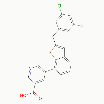 O=C(O)c1cncc(-c2cccc3cc(Cc4cc(F)cc(Cl)c4)sc23)c1